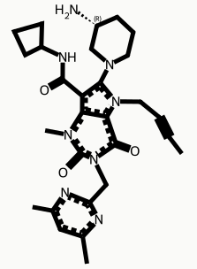 CC#CCn1c(N2CCC[C@@H](N)C2)c(C(=O)NC2CCC2)c2c1c(=O)n(Cc1nc(C)cc(C)n1)c(=O)n2C